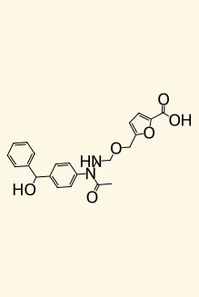 CC(=O)N(NCOCc1ccc(C(=O)O)o1)c1ccc(C(O)c2ccccc2)cc1